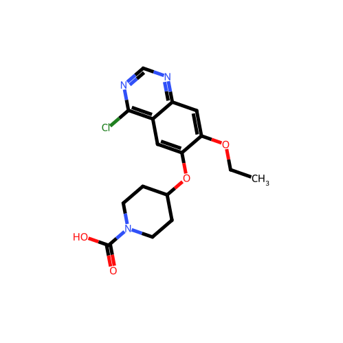 CCOc1cc2ncnc(Cl)c2cc1OC1CCN(C(=O)O)CC1